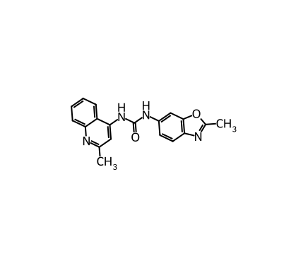 Cc1cc(NC(=O)Nc2ccc3nc(C)oc3c2)c2ccccc2n1